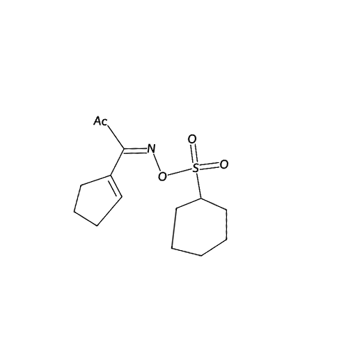 CC(=O)C(=NOS(=O)(=O)C1CCCCC1)C1=CCCC1